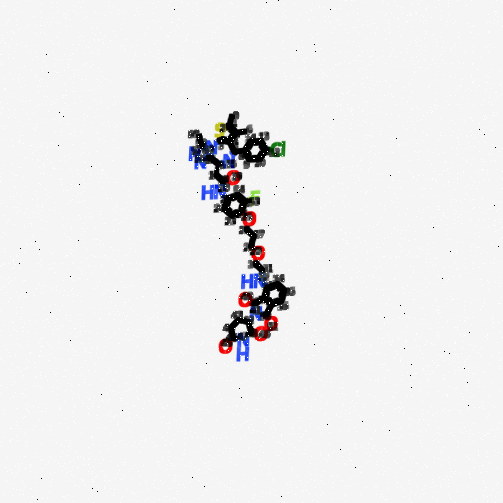 Cc1sc2c(c1C)C(c1ccc(Cl)cc1)=N[C@@H](CC(=O)Nc1ccc(OCCCOCCNc3cccc4c3C(=O)N(C3CCC(=O)NC3=O)C4=O)c(F)c1)c1nnc(C)n1-2